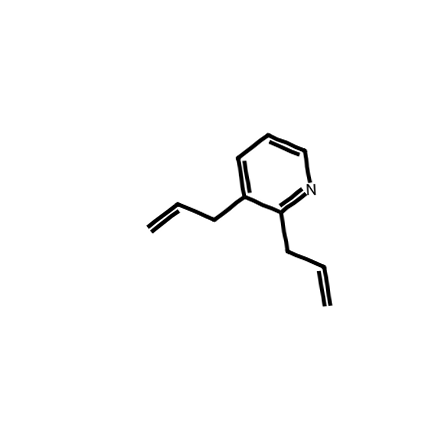 C=CCc1cccnc1CC=C